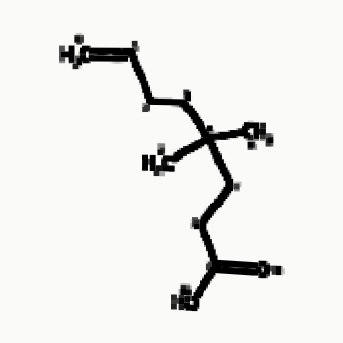 C=CCCC(C)(C)CCC(=O)O